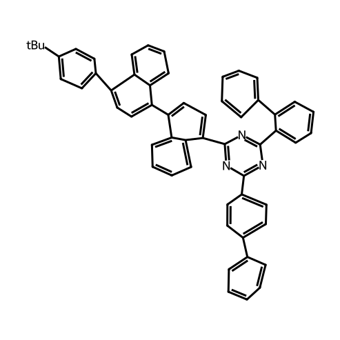 CC(C)(C)c1ccc(-c2ccc(-c3ccc(-c4nc(-c5ccc(-c6ccccc6)cc5)nc(-c5ccccc5-c5ccccc5)n4)c4ccccc34)c3ccccc23)cc1